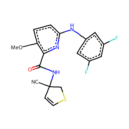 COc1ccc(Nc2cc(F)cc(F)c2)nc1C(=O)NC1(C#N)C=CSC1